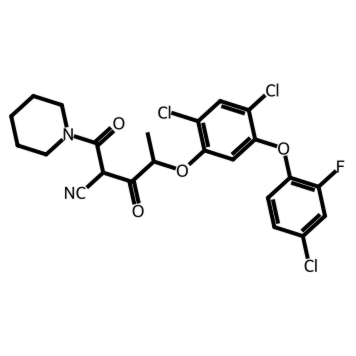 CC(Oc1cc(Oc2ccc(Cl)cc2F)c(Cl)cc1Cl)C(=O)C(C#N)C(=O)N1CCCCC1